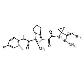 Cc1c(C(=O)C(=O)NC2(/C(=C/N)NN)CC2)c2n(c1C(=O)Nc1ccc(F)cc1F)CCC2